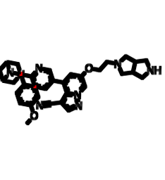 COc1ccc(CN2C3CC2CN(c2ccc(-c4cc(OCCN5CC6CNCC6C5)cn5ncc(C#N)c45)cn2)C3)cc1